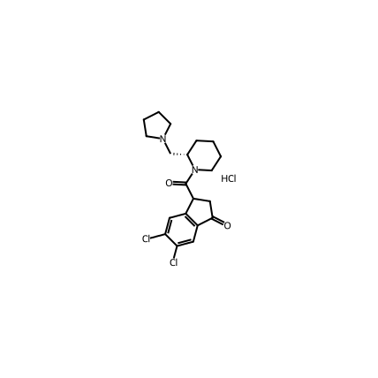 Cl.O=C1CC(C(=O)N2CCCC[C@H]2CN2CCCC2)c2cc(Cl)c(Cl)cc21